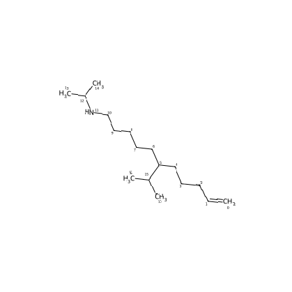 C=CCCCC(CCCCCNC(C)C)C(C)C